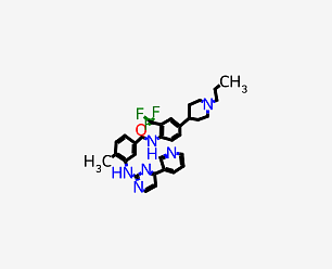 CCCN1CCC(c2ccc(NC(=O)c3ccc(C)c(Nc4nccc(-c5cccnc5)n4)c3)c(C(F)(F)F)c2)CC1